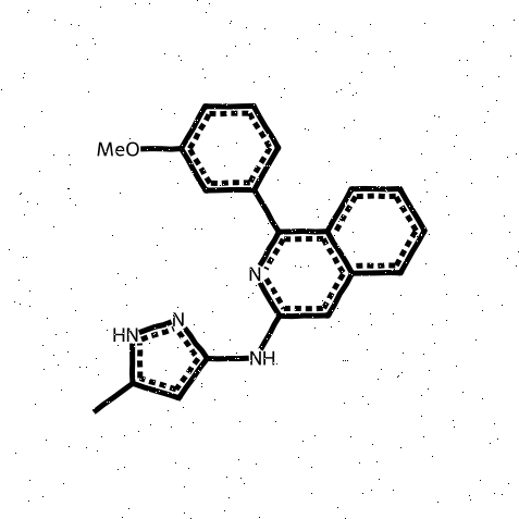 COc1cccc(-c2nc(Nc3cc(C)[nH]n3)cc3ccccc23)c1